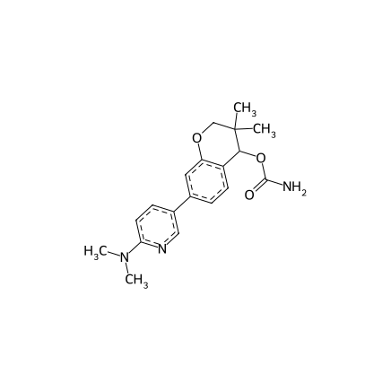 CN(C)c1ccc(-c2ccc3c(c2)OCC(C)(C)C3OC(N)=O)cn1